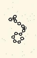 c1ccc(-c2cccc(-c3cccc(-c4cccc(-c5cccc(-c6cccc(-c7ccc8oc9ccc(-c%10ccc(-c%11ccc%12c(c%11)c%11ccccc%11n%12-c%11ccccc%11)cc%10)cc9c8c7)c6)c5)c4)c3)c2)cc1